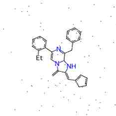 C=C1/C(=C/C2=CC=CC2)NC2C(Cc3ccccc3)=NC(c3ccccc3CC)=CN12